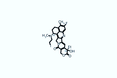 CC[C@@]1(O)C(=O)OCc2c1cc1n(c2=O)Cc2c-1nc1cc(F)c(C)c3c1c2[C@@H](N(C)CCI)CC3